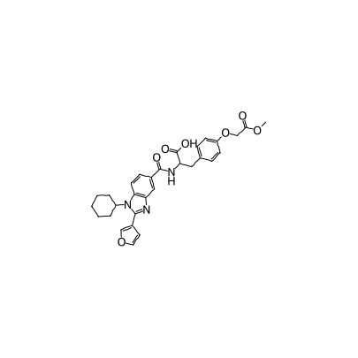 COC(=O)COc1ccc(CC(NC(=O)c2ccc3c(c2)nc(-c2ccoc2)n3C2CCCCC2)C(=O)O)cc1